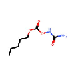 CCCCCOC(=O)ONC(N)=O